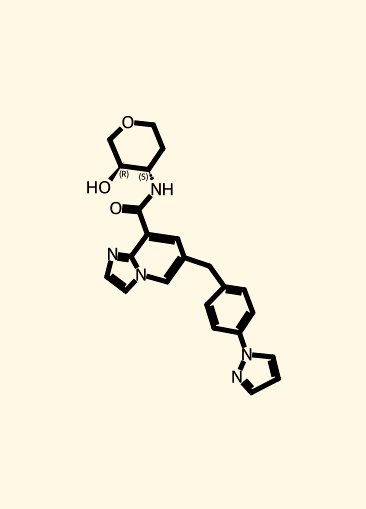 O=C(N[C@H]1CCOC[C@@H]1O)c1cc(Cc2ccc(-n3cccn3)cc2)cn2ccnc12